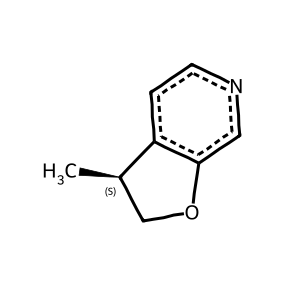 C[C@@H]1COc2cnccc21